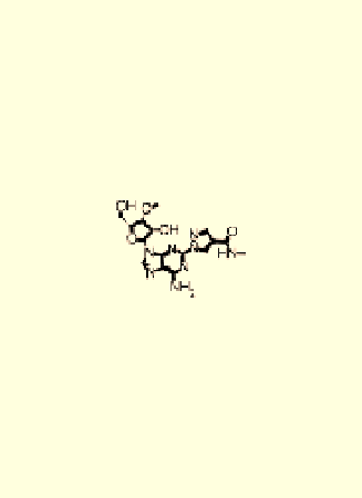 CNC(=O)c1cnn(-c2nc(N)c3ncn([C@@H]4O[C@H](CO)[C@H](OC)[C@@H]4O)c3n2)c1